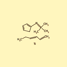 C=CC=CCC.CP(C)(C)=NC1=CC=CC1.[Ti]